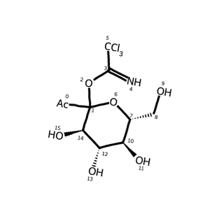 CC(=O)C1(OC(=N)C(Cl)(Cl)Cl)O[C@H](CO)[C@@H](O)[C@H](O)[C@H]1O